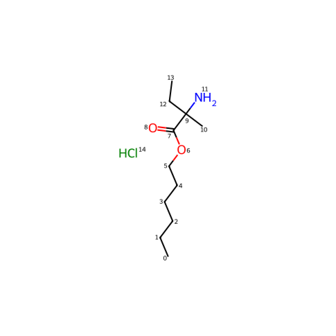 CCCCCCOC(=O)C(C)(N)CC.Cl